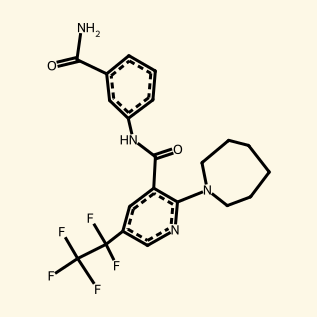 NC(=O)c1cccc(NC(=O)c2cc(C(F)(F)C(F)(F)F)cnc2N2CCCCCC2)c1